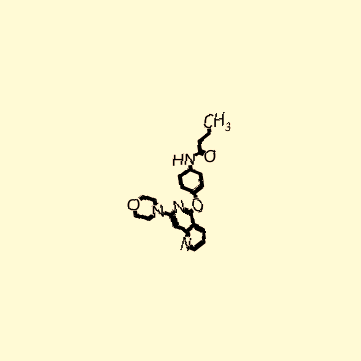 CCCC(=O)NC1CCC(Oc2nc(N3CCOCC3)cc3ncccc23)CC1